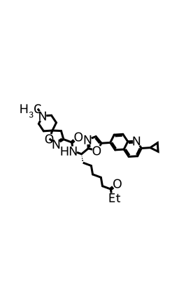 CCC(=O)CCCCC[C@H](NC(=O)C1=NOC2(CCN(C)CC2)C1)c1ncc(-c2ccc3nc(C4CC4)ccc3c2)o1